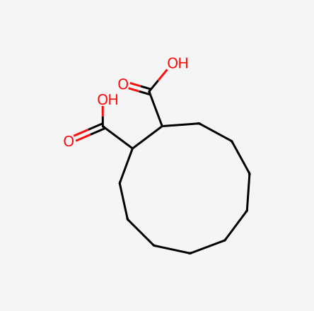 O=C(O)C1CCCCCCCCCC1C(=O)O